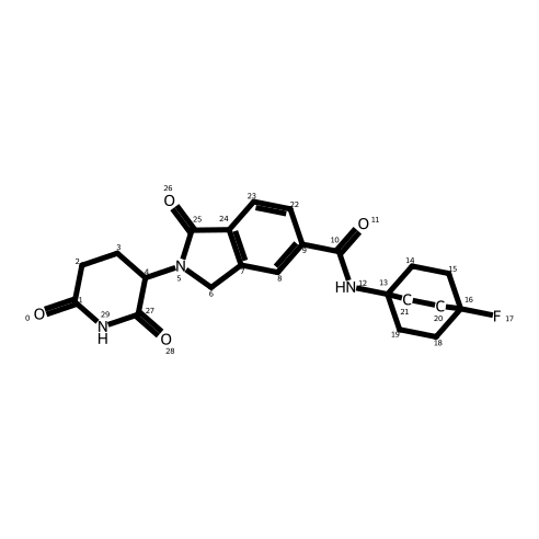 O=C1CCC(N2Cc3cc(C(=O)NC45CCC(F)(CC4)CC5)ccc3C2=O)C(=O)N1